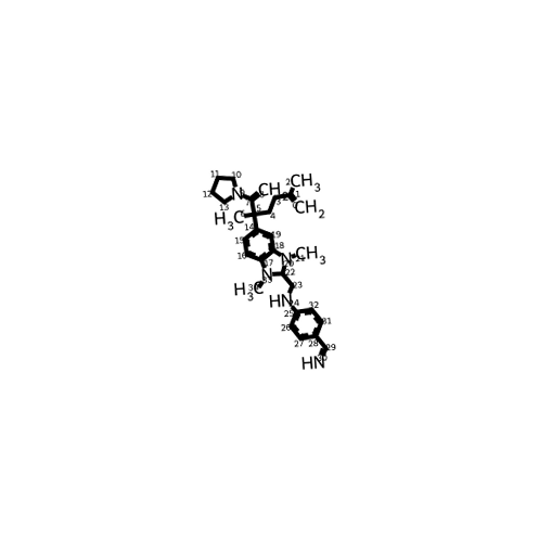 C=C(C)CCC(C)(C(=C)N1CCCC1)c1ccc2c(c1)N(C)C(CNc1ccc(C=N)cc1)N2C